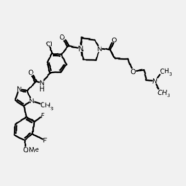 COc1ccc(-c2cnc(C(=O)Nc3ccc(C(=O)N4CCN(C(=O)CCOCCN(C)C)CC4)c(Cl)c3)n2C)c(F)c1F